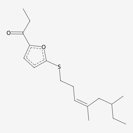 CCC(=O)c1ccc(SCCC=C(C)CC(C)CC)o1